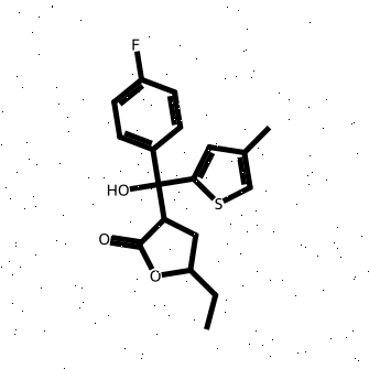 CCC1CC(C(O)(c2ccc(F)cc2)c2cc(C)cs2)C(=O)O1